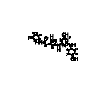 Cc1nc(Nc2ccc(O)cc2)nc(Nc2cc(CC(=O)Nc3cccc(F)c3)[nH]n2)n1